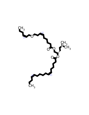 CCC/C=C\CCCC/C=C\CCCCC(=O)O[C@@H](CCN(C)C)COC(=O)CCCC/C=C\CCOC/C=C\CCC